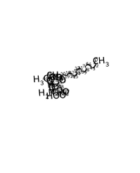 CC/C=C\C/C=C\C/C=C\C/C=C\C/C=C\C/C=C\CCC(=O)O[C@H]1C=C(c2cc3c(c(O)c2C(N)=O)OCO3)C[C@@H]2OC(C)(C)O[C@H]12